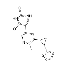 Cc1nnc(-c2c[nH]c(=O)[nH]c2=O)cc1[C@H]1C[C@@H]1c1cccs1